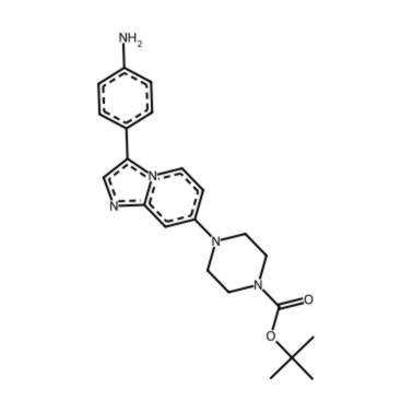 CC(C)(C)OC(=O)N1CCN(c2ccn3c(-c4ccc(N)cc4)cnc3c2)CC1